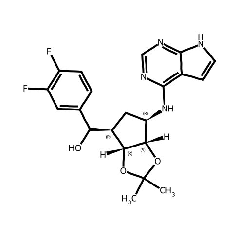 CC1(C)O[C@@H]2[C@H](O1)[C@@H](C(O)c1ccc(F)c(F)c1)C[C@H]2Nc1ncnc2[nH]ccc12